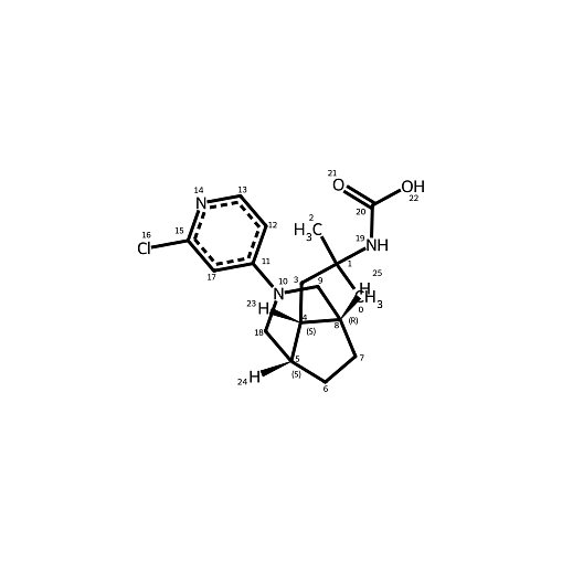 CC(C)(C[C@H]1[C@@H]2CC[C@H]1CN(c1ccnc(Cl)c1)C2)NC(=O)O